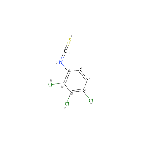 S=C=Nc1ccc(Cl)c(Cl)c1Cl